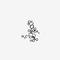 COc1ccc(OC)c(S(=O)(=O)N(CC(C)C)[C@@H]2CCN(C(=O)O)C2)c1